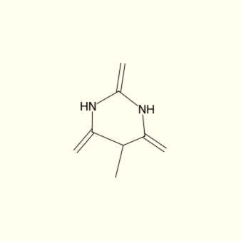 C=C1NC(=C)C(C)C(=C)N1